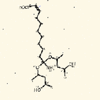 CCCCCCCC/C=C\CCCCCCCC(N)(OC(C)CC(C)O)OC(C)CC(C)O